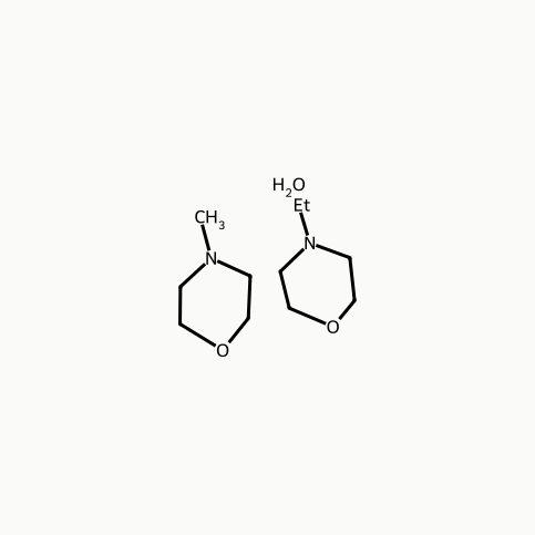 CCN1CCOCC1.CN1CCOCC1.O